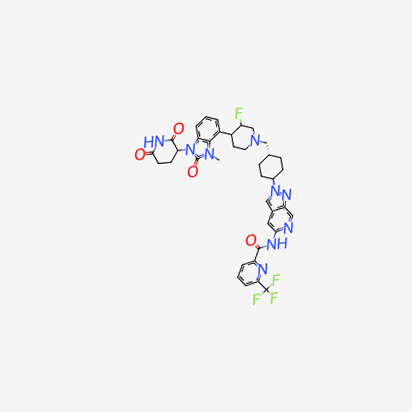 Cn1c(=O)n(C2CCC(=O)NC2=O)c2cccc(C3CCN(C[C@H]4CC[C@H](n5cc6cc(NC(=O)c7cccc(C(F)(F)F)n7)ncc6n5)CC4)CC3F)c21